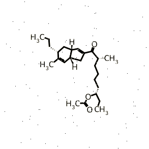 CCC[C@@H]1C[C@@H]2C=C(C(=O)[C@H](C)CCCC[C@H](CC)OC(C)=O)C[C@@H]2C=C1C